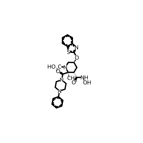 C[C@@]1(C(=O)N2CCN(c3ccccc3)CC2)[C@@H](C(=O)NO)C[C@H](Oc2nc3ccccc3s2)CN1C(=O)O